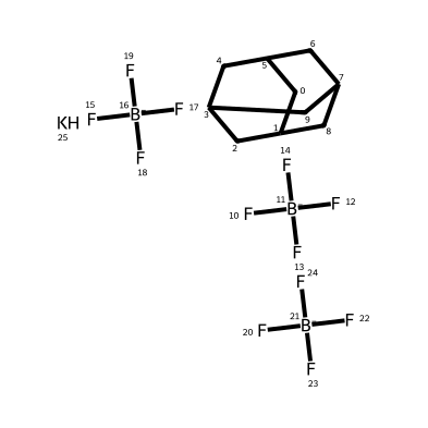 C1C2CC3CC1CC(C2)C3.F[B-](F)(F)F.F[B-](F)(F)F.F[B-](F)(F)F.[KH]